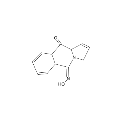 O=C1C2C=CC=CC2C(=NO)N2CC=CC12